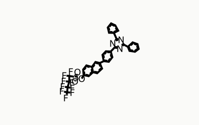 O=S(=O)(Oc1ccc2cc(-c3ccc(-c4nc(-c5ccccc5)nc(-c5ccccc5)n4)cc3)ccc2c1)C(F)(F)C(F)(F)C(F)(F)C(F)(F)F